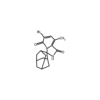 Cc1cc(Br)c(=O)n2c1C(=O)NC21C2CC3CC(C2)CC1C3